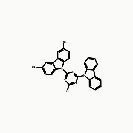 CC(C)(C)c1ccc2c(c1)c1cc(C(C)(C)C)ccc1n2-c1nc(Cl)nc(-n2c3ccccc3c3ccccc32)n1